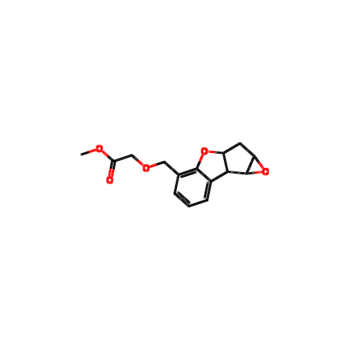 COC(=O)COCc1cccc2c1OC1CC3OC3C21